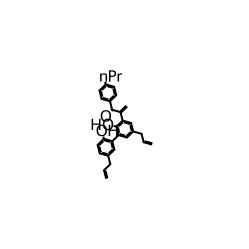 C=CCc1ccc(O)c(-c2cc(CC=C)cc(C(=C)C(=O)c3ccc(CCC)cc3)c2O)c1